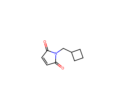 O=C1C=CC(=O)N1CC1CCC1